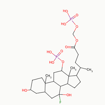 CC(CCC(=O)OCOP(=O)(O)O)C1CCC2C3C(CC(OP(=O)(O)O)C12C)C1(C)CCC(O)CC1CC3(O)F